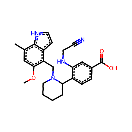 COc1cc(C)c2[nH]ccc2c1CN1CCCCC1c1ccc(C(=O)O)cc1NCC#N